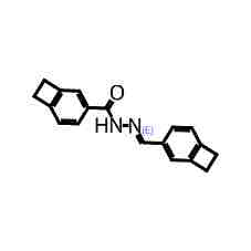 O=C(N/N=C/c1ccc2c(c1)CC2)c1ccc2c(c1)CC2